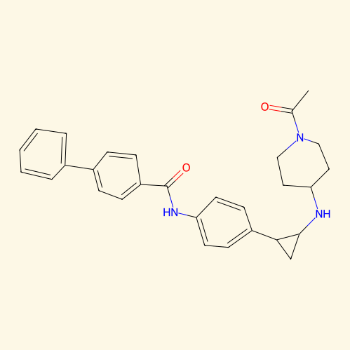 CC(=O)N1CCC(NC2CC2c2ccc(NC(=O)c3ccc(-c4ccccc4)cc3)cc2)CC1